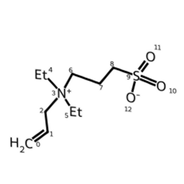 C=CC[N+](CC)(CC)CCCS(=O)(=O)[O-]